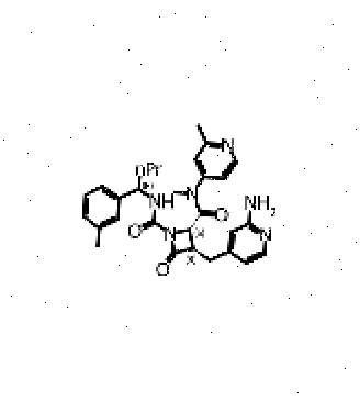 CCC[C@@H](NC(=O)N1C(=O)[C@H](Cc2ccnc(N)c2)[C@H]1C(=O)N(C)c1ccnc(C)c1)c1cccc(C)c1